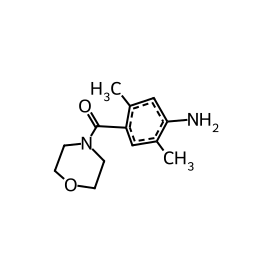 Cc1cc(C(=O)N2CCOCC2)c(C)cc1N